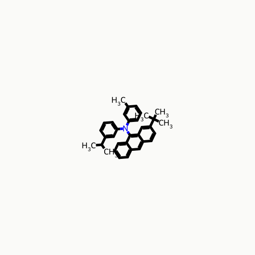 Cc1cccc(N(c2cccc(C(C)C)c2)c2c3ccccc3cc3ccc(C(C)(C)C)cc23)c1